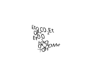 CCOC(=O)C(OC[C@H]1O[C@@H](OC)[C@@H]2OC(C)(C)O[C@@H]21)P(=O)(OCC)OCC